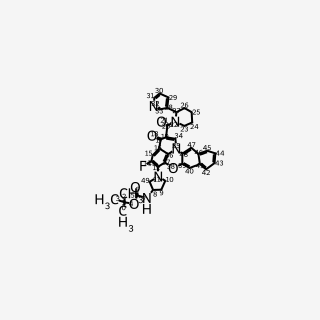 CC(C)(C)OC(=O)NC1CCN(c2c(F)cc3c(=O)c(C(=O)N4CCCCC4c4cccnc4)cn4c3c2Oc2cc3ccccc3cc2-4)C1